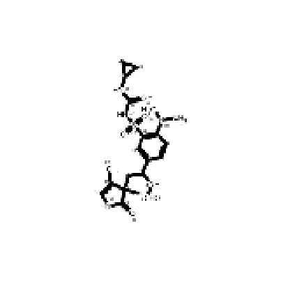 CCC1(CC(NC=O)c2ccc(N(C)C)c(S(=O)(=O)NC(=O)NC3CC3)c2)C(=O)NC=C1C